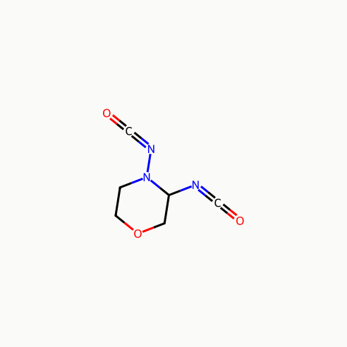 O=C=NC1COCCN1N=C=O